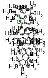 Bc1c(B)c(B)c2c(B)c(-c3c(B)c(B)c(-c4c5c(B)c(B)c(B)c(B)c5c(-c5c(B)c(B)c6c(oc7c8c(B)c(B)c(B)c(B)c8c8c(B)c(B)c(B)c(B)c8c76)c5B)c5c(B)c(B)c(B)c(B)c45)c4c(B)c(B)c(B)c(B)c34)c(B)c(B)c2c1B